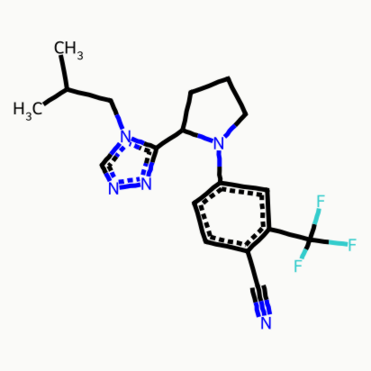 CC(C)Cn1cnnc1C1CCCN1c1ccc(C#N)c(C(F)(F)F)c1